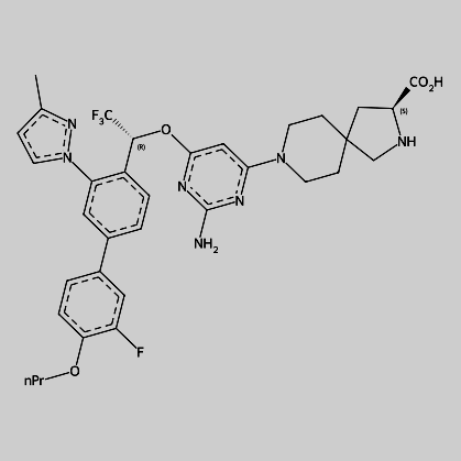 CCCOc1ccc(-c2ccc([C@@H](Oc3cc(N4CCC5(CC4)CN[C@H](C(=O)O)C5)nc(N)n3)C(F)(F)F)c(-n3ccc(C)n3)c2)cc1F